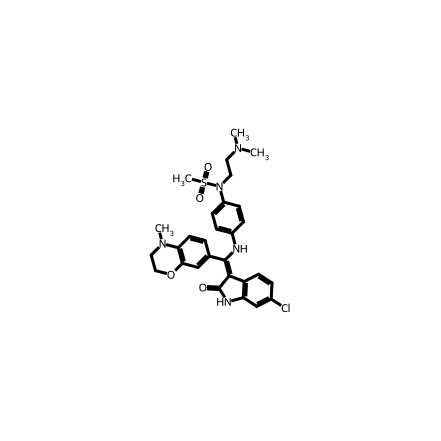 CN(C)CCN(c1ccc(NC(=C2C(=O)Nc3cc(Cl)ccc32)c2ccc3c(c2)OCCN3C)cc1)S(C)(=O)=O